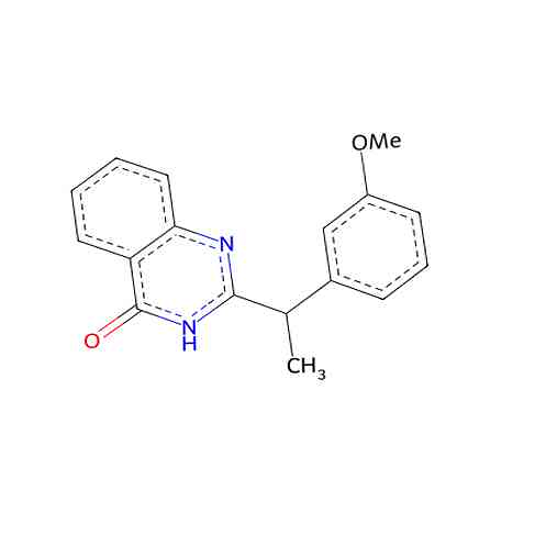 COc1cccc(C(C)c2nc3ccccc3c(=O)[nH]2)c1